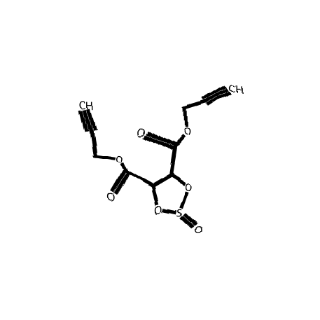 C#CCOC(=O)C1OS(=O)OC1C(=O)OCC#C